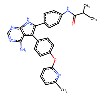 Cc1cccc(Oc2ccc(-c3c(-c4ccc(NC(=O)C(C)C)cc4)[nH]c4ncnc(N)c34)cc2)n1